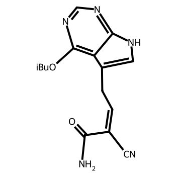 CC(C)COc1ncnc2[nH]cc(CC=C(C#N)C(N)=O)c12